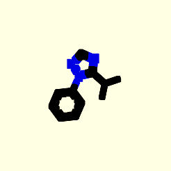 CC(C)c1ncnn1-c1ccccc1